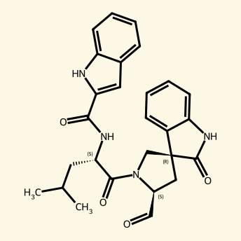 CC(C)C[C@H](NC(=O)c1cc2ccccc2[nH]1)C(=O)N1C[C@]2(C[C@H]1C=O)C(=O)Nc1ccccc12